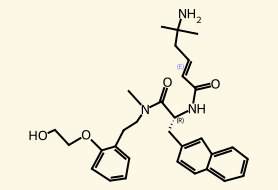 CN(CCc1ccccc1OCCO)C(=O)[C@@H](Cc1ccc2ccccc2c1)NC(=O)/C=C/CC(C)(C)N